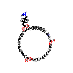 CN(C)CC(C)(C)C(C)(C)CC(=O)OC1CCCCCCCC/C=C\CC(=O)OCCCCCCCCCCOC(=O)C/C=C\CCCCCCCC1